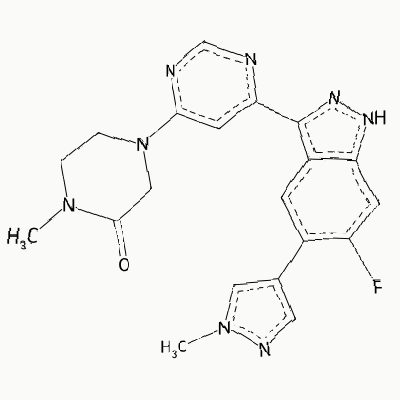 CN1CCN(c2cc(-c3n[nH]c4cc(F)c(-c5cnn(C)c5)cc34)ncn2)CC1=O